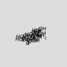 CO[C@@H]1OC(CO)[C@@H](O[C@@H]2OC(CO)[C@H](O)C(O[C@]3(C(=O)O)C[C@@H](O)[C@@H](N)C([C@H](O)[C@H](O)CO)O3)C2O)C(O[C@@H]2OC(C)[C@@H](O)[C@H](O)C2O)C1C